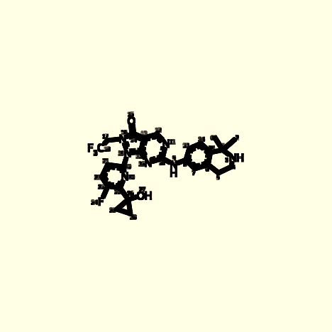 CC1(C)NCCc2cc(Nc3ncc4c(=O)n(CC(F)(F)F)n(-c5ccc(F)c(C6(O)CC6)n5)c4n3)ccc21